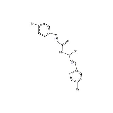 O=C(/C=C/c1ccc(Br)cc1)N[S+]([O-])/C=C/c1ccc(Br)cc1